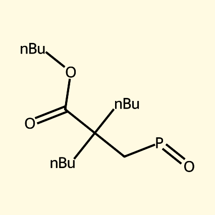 CCCCOC(=O)C(CCCC)(CCCC)CP=O